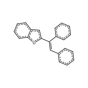 C(=C(c1ccccc1)c1cc2ccccc2o1)c1ccccc1